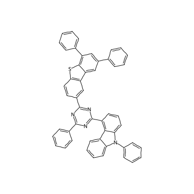 c1ccc(-c2cc(-c3ccccc3)c3sc4ccc(-c5nc(-c6ccccc6)nc(-c6cccc7c6c6ccccc6n7-c6ccccc6)n5)cc4c3c2)cc1